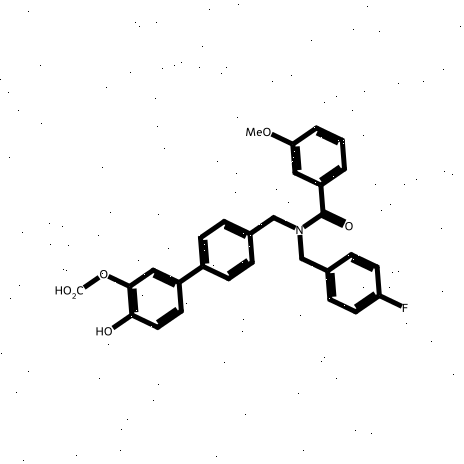 COc1cccc(C(=O)N(Cc2ccc(F)cc2)Cc2ccc(-c3ccc(O)c(OC(=O)O)c3)cc2)c1